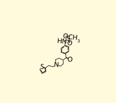 CS(=O)(=O)Nc1ccc(C(=O)C2CCN(CCc3cccs3)CC2)cc1